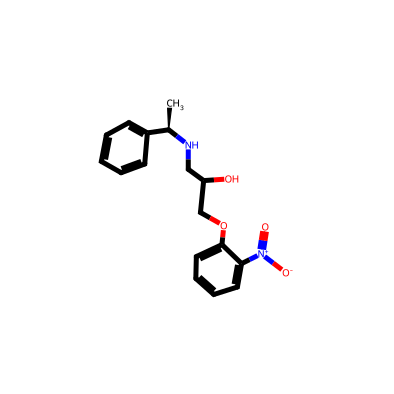 C[C@@H](NCC(O)COc1ccccc1[N+](=O)[O-])c1ccccc1